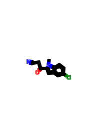 Cn1c(C(=O)CC#N)cc2cc(Cl)ccc21